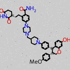 COc1ccc([C@H]2COc3cc(O)ccc3[C@H]2c2ccc(N3CCC(CN4CCN(c5ccc(C(N)=O)c(CC[C@H]6CCC(=O)NC6=O)c5)CC4)CC3)cc2)cc1